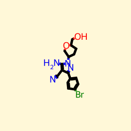 N#Cc1c(-c2ccc(Br)cc2)nn(C2CCC(CO)OC2)c1N